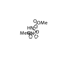 COC(=O)c1ccc2c(C(=O)C(Nc3ccccc3OC)c3ccccc3)c[nH]c2c1